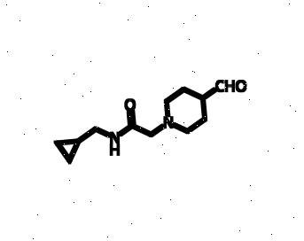 O=CC1CCN(CC(=O)NCC2CC2)CC1